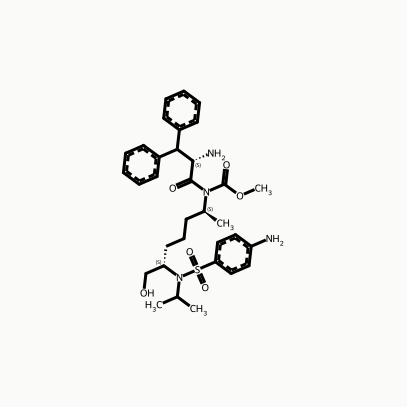 COC(=O)N(C(=O)[C@@H](N)C(c1ccccc1)c1ccccc1)[C@@H](C)CCC[C@@H](CO)N(C(C)C)S(=O)(=O)c1ccc(N)cc1